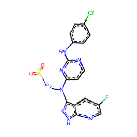 CN(c1ccnc(Nc2ccc(Cl)cc2)n1)c1n[nH]c2ncc(F)cc12.N[SH](=O)=O